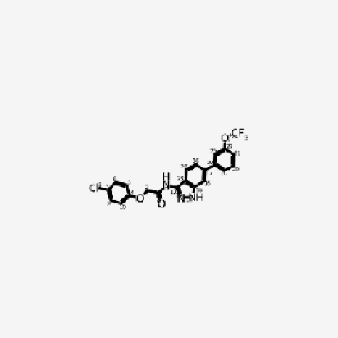 O=C(COc1ccc(Cl)cc1)Nc1n[nH]c2cc(-c3cccc(OC(F)(F)F)c3)ccc12